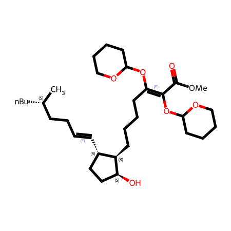 CCCC[C@H](C)CC/C=C/[C@H]1CC[C@H](O)[C@@H]1CCCC/C(OC1CCCCO1)=C(\OC1CCCCO1)C(=O)OC